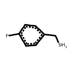 Fc1ccc(C[SiH3])cc1